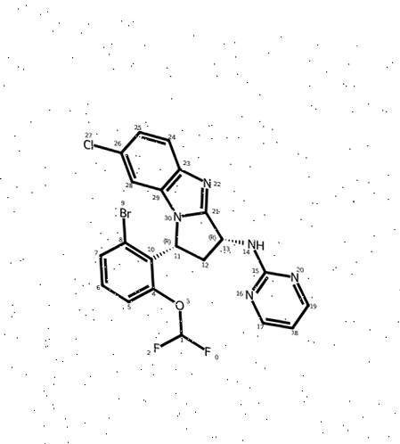 FC(F)Oc1cccc(Br)c1[C@H]1C[C@@H](Nc2ncccn2)c2nc3ccc(Cl)cc3n21